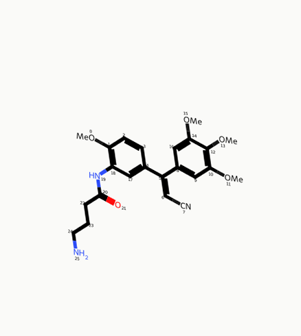 COc1ccc(C(=CC#N)c2cc(OC)c(OC)c(OC)c2)cc1NC(=O)CCCN